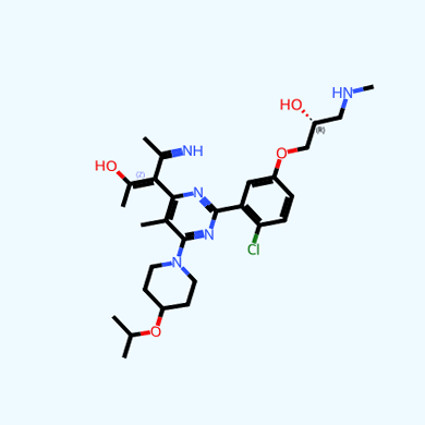 CNC[C@@H](O)COc1ccc(Cl)c(-c2nc(/C(C(C)=N)=C(\C)O)c(C)c(N3CCC(OC(C)C)CC3)n2)c1